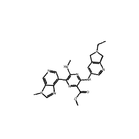 CCN1Cc2cc(Nc3nc(NC)c(-c4cncc5c4ncn5C)nc3C(=O)OC)cnc2C1